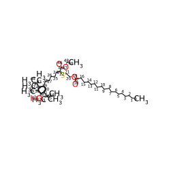 CCCCCCCCCCCCCCCCCC(=O)OCCSC(CCCCCc1cc(C(C)(C)C)c(O)c(C)c1C(C)(C)C)C(=O)OCC